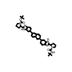 CC(C)(C)NC(=O)N1CCCC1c1nc2ccc(-c3ccc4cc(-c5ccc6nc(C7CCCN7C(=O)OC(C)(C)C)[nH]c6c5)ccc4c3)cc2[nH]1